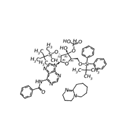 C1CCC2=NCCCN2CC1.CC(C)(C)[Si](C)(C)O[C@H]1[C@H](n2cnc3c(NC(=O)c4ccccc4)ncnc32)O[C@H](CO[Si](c2ccccc2)(c2ccccc2)C(C)(C)C)[C@@]1(O)O[PH](=O)O